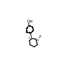 Oc1ccc([C@@H]2CCCC[C@H]2F)cc1